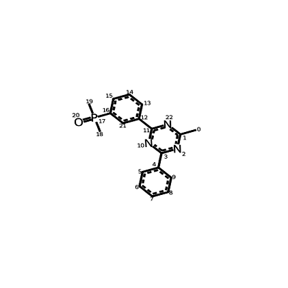 Cc1nc(-c2ccccc2)nc(-c2cccc(P(C)(C)=O)c2)n1